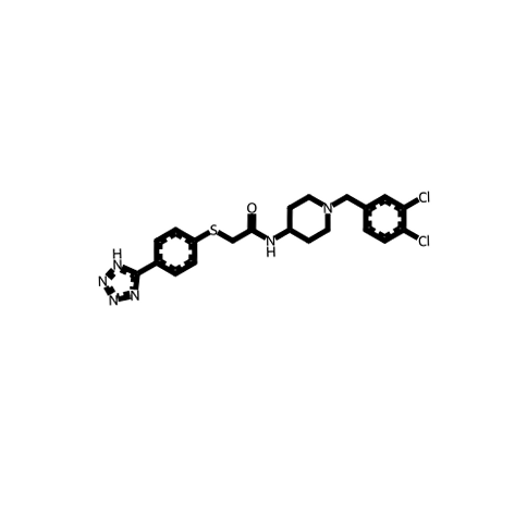 O=C(CSc1ccc(-c2nnn[nH]2)cc1)NC1CCN(Cc2ccc(Cl)c(Cl)c2)CC1